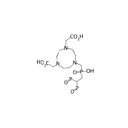 O=PC(CP(=O)(O)CN1CCN(CC(=O)O)CCN(CC(=O)O)CC1)P=O